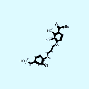 CCCCC(=O)c1ccc(OCCCSc2ccc(CC(=O)O)cc2Cl)c(CCC)c1O